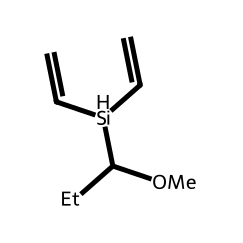 C=C[SiH](C=C)C(CC)OC